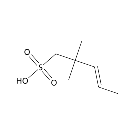 CC=CC(C)(C)CS(=O)(=O)O